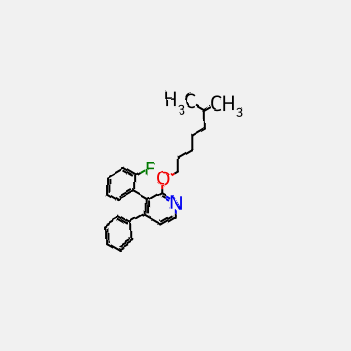 CC(C)CCCCCOc1nccc(-c2ccccc2)c1-c1ccccc1F